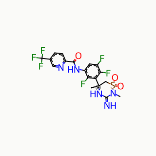 CN1C(=N)N[C@](C)(c2c(F)c(F)cc(NC(=O)c3ccc(C(F)(F)F)cn3)c2F)CS1(=O)=O